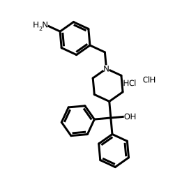 Cl.Cl.Nc1ccc(CN2CCC(C(O)(c3ccccc3)c3ccccc3)CC2)cc1